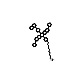 SCCCCCCCCCCc1ccc(-c2c3cc4ccc(-c5ccccc5)cc4cc3c(-c3ccc(-c4cccc5ccccc45)cc3)c3cc4ccc(-c5ccccc5)cc4cc23)cc1